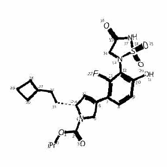 CC(C)OC(=O)N1CC(c2ccc(O)c(N3CC(=O)NS3(=O)=O)c2F)=C[C@H]1CCC1CCC1